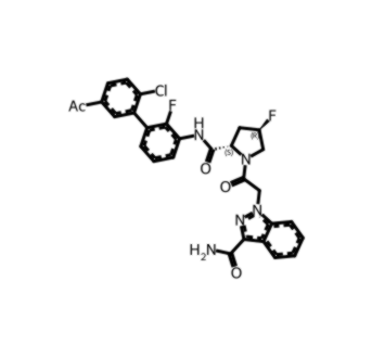 CC(=O)c1ccc(Cl)c(-c2cccc(NC(=O)[C@@H]3C[C@@H](F)CN3C(=O)Cn3nc(C(N)=O)c4ccccc43)c2F)c1